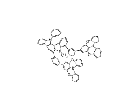 Cn1c2c(-c3cccc(-c4cc5c6c(c4)Oc4ccccc4B6c4ccccc4O5)c3)cccc2c2c1c(-c1cccc(-c3cc4c5c(c3)Oc3ccccc3B5c3ccccc3O4)c1)cc1c3ccccc3n(-c3ccccc3)c12